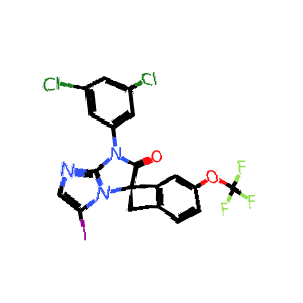 O=C1N(c2cc(Cl)cc(Cl)c2)c2ncc(I)n2[C@]12Cc1ccc(OC(F)(F)F)cc12